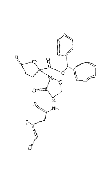 O=C1CCC(C(=O)OC(c2ccccc2)c2ccccc2)(N2OC[C@H](NC(=S)CC(Cl)=CCl)C2=O)O1